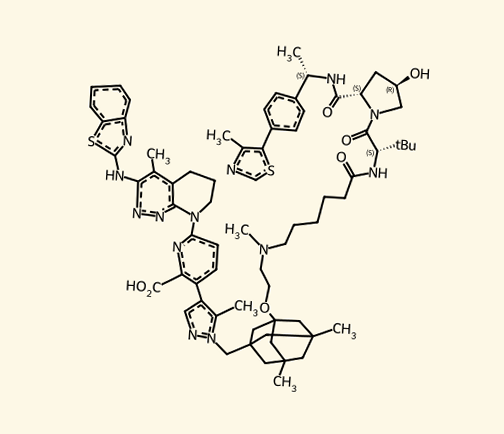 Cc1ncsc1-c1ccc([C@H](C)NC(=O)[C@@H]2C[C@@H](O)CN2C(=O)[C@@H](NC(=O)CCCCCN(C)CCOC23CC4(C)CC(C)(CC(Cn5ncc(-c6ccc(N7CCCc8c7nnc(Nc7nc9ccccc9s7)c8C)nc6C(=O)O)c5C)(C4)C2)C3)C(C)(C)C)cc1